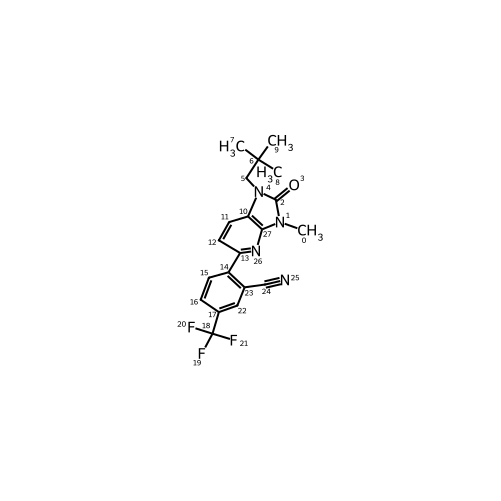 Cn1c(=O)n(CC(C)(C)C)c2ccc(-c3ccc(C(F)(F)F)cc3C#N)nc21